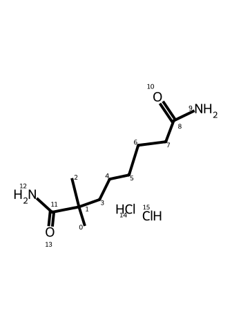 CC(C)(CCCCCC(N)=O)C(N)=O.Cl.Cl